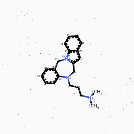 CN(C)CCCN1Cc2cc3ccccc3n2Cc2ccccc21